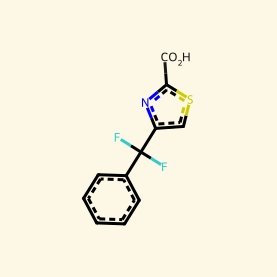 O=C(O)c1nc(C(F)(F)c2ccccc2)cs1